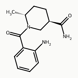 C[C@@H]1CC[C@@H](C(N)=O)CN1C(=O)c1ccccc1N